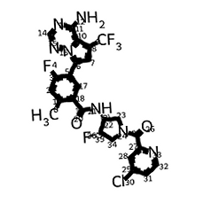 Cc1cc(F)c(-c2cc(C(F)(F)F)c3c(N)ncnn23)cc1C(=O)N[C@@H]1CN(C(=O)c2cc(Cl)ccn2)C[C@@H]1F